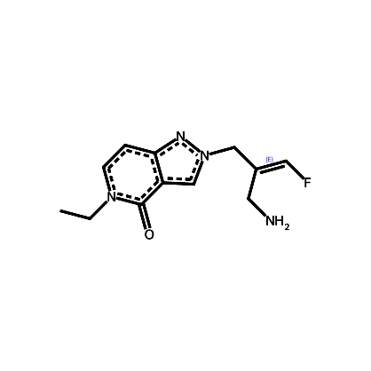 CCn1ccc2nn(C/C(=C/F)CN)cc2c1=O